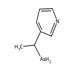 CC([AsH2])c1cccnc1